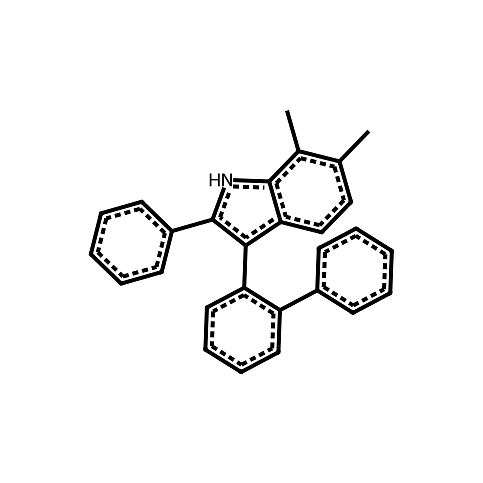 Cc1ccc2c(-c3ccccc3-c3ccccc3)c(-c3ccccc3)[nH]c2c1C